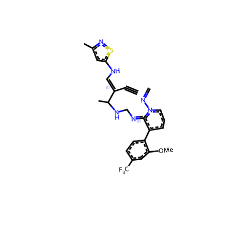 C#C/C(=C\Nc1cc(C)ns1)C(C)NC/N=c1/c(-c2ccc(C(F)(F)F)cc2OC)cccn1N=C